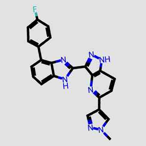 Cn1cc(-c2ccc3[nH]nc(-c4nc5c(-c6ccc(F)cc6)cccc5[nH]4)c3n2)cn1